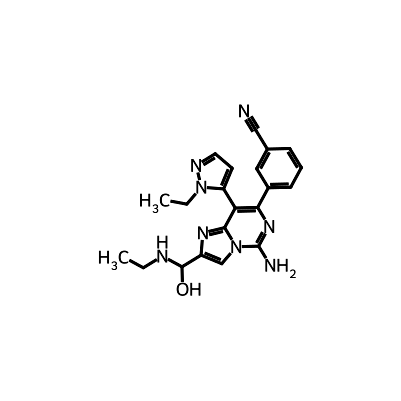 CCNC(O)c1cn2c(N)nc(-c3cccc(C#N)c3)c(-c3ccnn3CC)c2n1